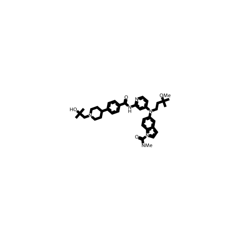 CNC(=O)n1ccc2cc(N(CCC(C)(C)OC)c3ccnc(NC(=O)c4ccc(C5CCN(CC(C)(C)O)CC5)cc4)c3)ccc21